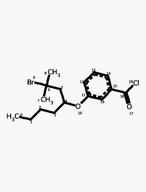 CCCCC(CC(C)(C)Br)Oc1cccc(C(=O)Cl)c1